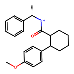 COc1ccc(C2CCCCC2C(=O)N[C@@H](C)c2ccccc2)cc1